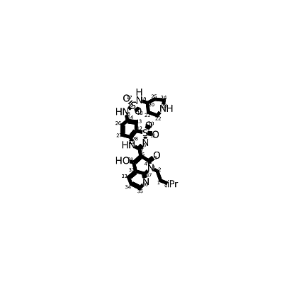 CC(C)CCn1c(=O)c(C2=NS(=O)(=O)c3cc(NS(=O)(=O)NC4CCNCC4)ccc3N2)c(O)c2cccnc21